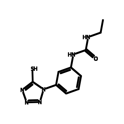 CCNC(=O)Nc1cccc(-n2nnnc2S)c1